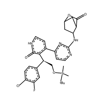 CC(C)(C)[Si](C)(C)OC[C@@H](c1ccc(Cl)c(F)c1)c1c(-c2ccnc(NC3CC4CC3C(=O)O4)n2)cc[nH]c1=O